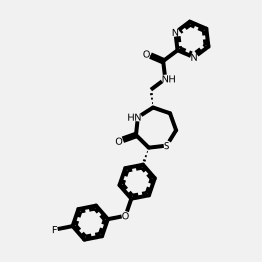 O=C(NC[C@@H]1CCS[C@H](c2ccc(Oc3ccc(F)cc3)cc2)C(=O)N1)c1ncccn1